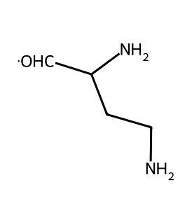 NCCC(N)[C]=O